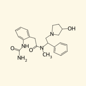 CN(C(=O)Cc1ccccc1NC(N)=O)C(CN1CCC(O)C1)c1ccccc1